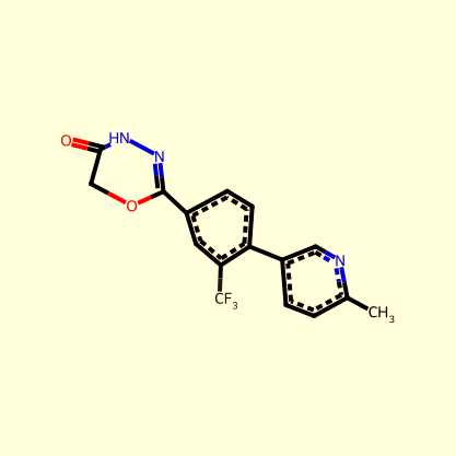 Cc1ccc(-c2ccc(C3=NNC(=O)CO3)cc2C(F)(F)F)cn1